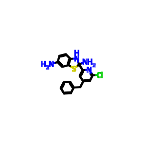 Nc1ccc2c(c1)SC(N)(c1cc(Cc3ccccc3)cc(Cl)n1)N2